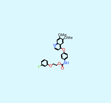 COc1cc2nccc(Oc3ccc(NC(=O)OCCOc4cccc(F)c4)cc3)c2cc1OC